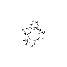 C[C@@H]1C=CC[C@H](NC(=O)O)c2cc(ccn2)-c2ccncc2NC1=O